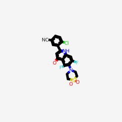 N#Cc1ccc(Cl)c(-c2cc(=O)c3c(F)c(N4CCS(=O)(=O)CC4)c(F)cc3[nH]2)c1